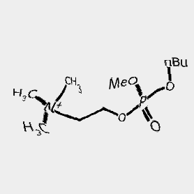 CCCCOP(=O)(OC)OCC[N+](C)(C)C